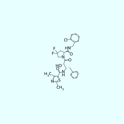 Cc1nc(C)c(C(=O)N[C@@H](Cc2ccccc2)[C@H](O)C(=O)N2CC(F)(F)C[C@H]2C(=O)NCc2ccccc2Cl)s1